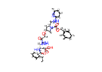 CCc1ccccc1C(=O)NC(CNC(=O)COC1CC(CNc2ccccn2)N(C(=O)OCc2ccccc2)C1)C(=O)O